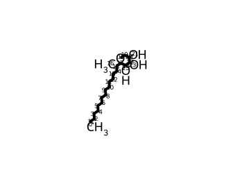 CCCCCCCCCCCCCCCC(C)C1OC[C@@H](O)[C@H](O)[C@H]1O